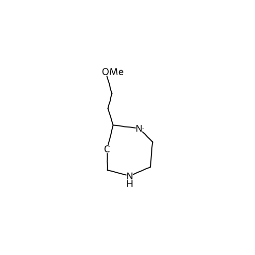 COCCC1CCNCC[N]1